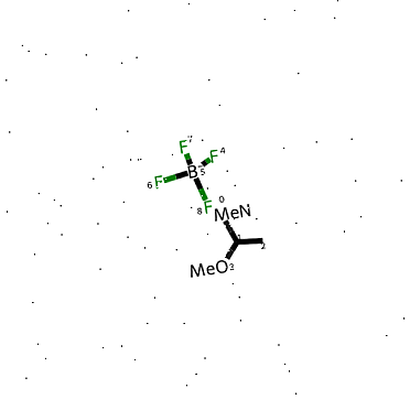 C[NH2+]C(C)OC.F[B-](F)(F)F